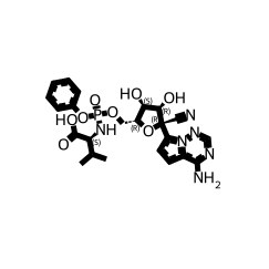 CC(C)[C@H](NP(=O)(OC[C@H]1O[C@@](C#N)(c2ccc3c(N)ncnn23)[C@H](O)[C@@H]1O)Oc1ccccc1)C(=O)O